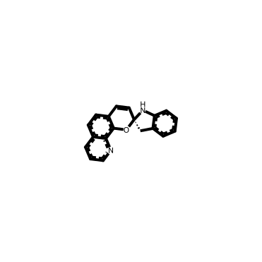 C1=C[C@]2(Cc3ccccc3N2)Oc2c1ccc1cccnc21